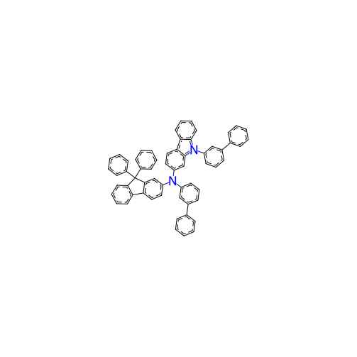 c1ccc(-c2cccc(N(c3ccc4c(c3)C(c3ccccc3)(c3ccccc3)c3ccccc3-4)c3ccc4c5ccccc5n(-c5cccc(-c6ccccc6)c5)c4c3)c2)cc1